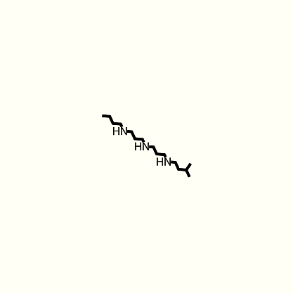 CCCCNCCCNCCCNCCC(C)C